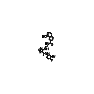 CC(Nc1ccc(F)c(Br)c1)c1nonc1NCCNC(=O)c1ccc2c(c1)B(O)OC=C2